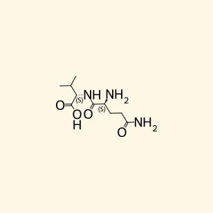 CC(C)[C@H](NC(=O)[C@@H](N)CCC(N)=O)C(=O)O